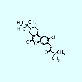 CN(C)C(=O)Sc1cc2oc(=O)c3c(c2cc1Cl)CCC(C(C)(C)C)C3